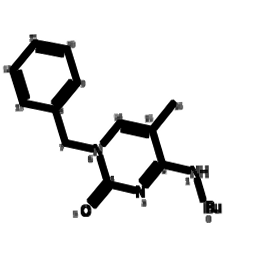 CCC(C)Nc1nc(=O)n(Cc2ccccc2)cc1C